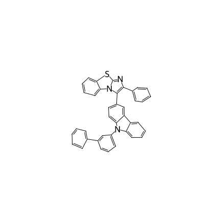 c1ccc(-c2cccc(-n3c4ccccc4c4cc(-c5c(-c6ccccc6)nc6sc7ccccc7n56)ccc43)c2)cc1